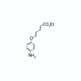 CCOC(=O)C=CC=COc1ccc(N)cc1